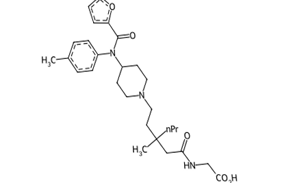 CCCC(C)(CCN1CCC(N(C(=O)c2ccco2)c2ccc(C)cc2)CC1)CC(=O)NCC(=O)O